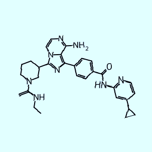 C=C(NCC)N1CCCC(c2nc(-c3ccc(C(=O)Nc4cc(C5CC5)ccn4)cc3)c3c(N)nccn23)C1